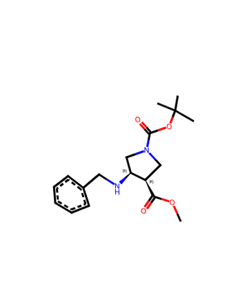 COC(=O)[C@@H]1CN(C(=O)OC(C)(C)C)C[C@@H]1NCc1ccccc1